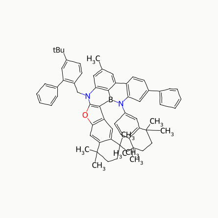 Cc1cc2c3c(c1)N(Cc1ccc(C(C)(C)C)cc1-c1ccccc1)c1oc4cc5c(cc4c1B3N(c1ccc3c(c1)C(C)(C)CCC3(C)C)c1cc(-c3ccccc3)ccc1-2)C(C)(C)CCC5(C)C